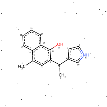 Cc1cc(C(C)c2cc[nH]c2)c(O)c2ccccc12